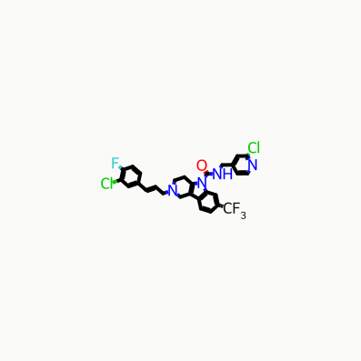 O=C(NCc1ccnc(Cl)c1)n1c2c(c3ccc(C(F)(F)F)cc31)CN(CC=Cc1ccc(F)c(Cl)c1)CC2